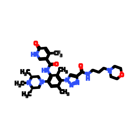 Cc1cc(N2C[C@@H](C)N(C)[C@@H](C)C2)c(NC(=O)c2c[nH]c(=O)cc2C(F)(F)F)c(C)c1-n1cc(C(=O)NCCCN2CCOCC2)nn1